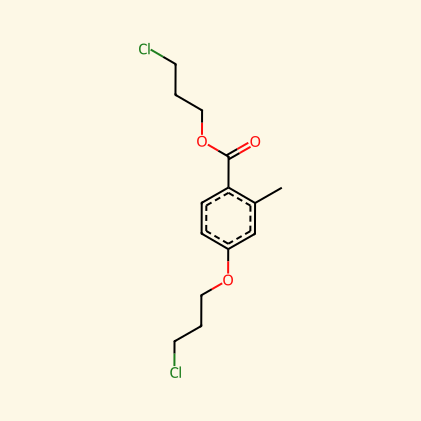 Cc1cc(OCCCCl)ccc1C(=O)OCCCCl